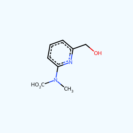 CN(C(=O)O)c1cccc(CO)n1